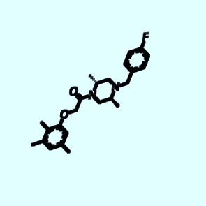 Cc1cc(C)c(C)c(OCC(=O)N2C[C@H](C)N(Cc3ccc(F)cc3)C[C@H]2C)c1